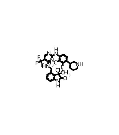 Cc1c(Nc2ncc(C(F)(F)F)c(NCc3cccc4c3C(C)(C)C(=O)N4)n2)ccc(C2CCCNC2)c1F